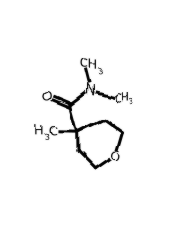 CN(C)C(=O)C1(C)CCOCC1